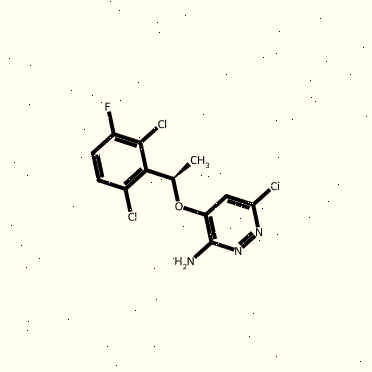 C[C@@H](Oc1cc(Cl)nnc1N)c1c(Cl)ccc(F)c1Cl